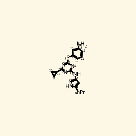 CCCc1cc(Nc2nc(Sc3cccc(N)c3)nc(C3CC3)n2)n[nH]1